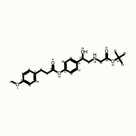 COc1ccc(CCC(=O)Oc2ccc(C(O)CNCC(=O)OC(C)(C)C)cc2)cc1